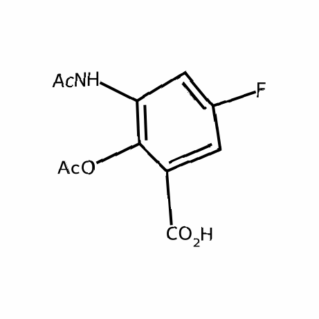 CC(=O)Nc1cc(F)cc(C(=O)O)c1OC(C)=O